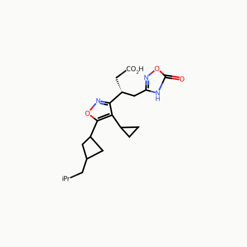 CC(C)CC1CC(c2onc([C@H](CC(=O)O)Cc3noc(=O)[nH]3)c2C2CC2)C1